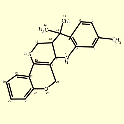 Cc1ccc2c(c1)NC1C3=C(SCC1C2(C)C)c1ccccc1OC3